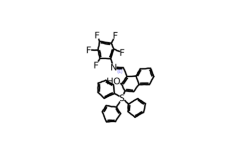 Oc1c(S(c2ccccc2)(c2ccccc2)c2ccccc2)cc2ccccc2c1/C=N/c1c(F)c(F)c(F)c(F)c1F